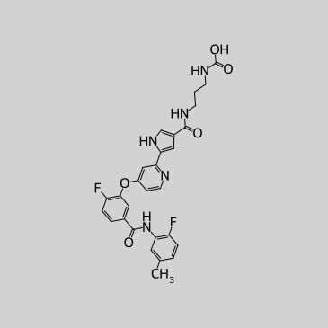 Cc1ccc(F)c(NC(=O)c2ccc(F)c(Oc3ccnc(-c4cc(C(=O)NCCCNC(=O)O)c[nH]4)c3)c2)c1